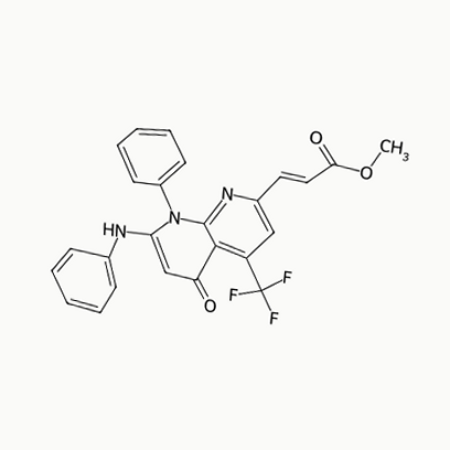 COC(=O)/C=C/c1cc(C(F)(F)F)c2c(=O)cc(Nc3ccccc3)n(-c3ccccc3)c2n1